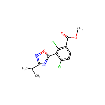 COC(=O)c1ccc(Cl)c(-c2nc(C(C)C)no2)c1Cl